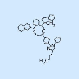 C=CCCc1cn(-c2ccccc2)c(-c2ccc(-c3cccc(-c4ccc5ccccc5c4)c4c(c(C(=C)/C=C\c5ccccc5)cc3)=CCCC=4)cc2)n1